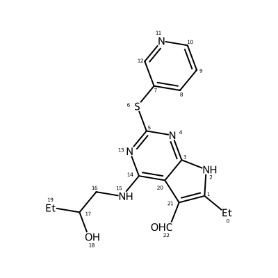 CCc1[nH]c2nc(Sc3cccnc3)nc(NCC(O)CC)c2c1C=O